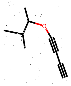 C#CC#COC(C)C(C)C